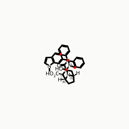 CN(Cc1ccc2ccn(C)c2c1)C(O)N1[C@H]2CC[C@@H]1[C@@H](C(=O)O)N(C(=O)N(c1ccccc1)c1ccccc1)C2